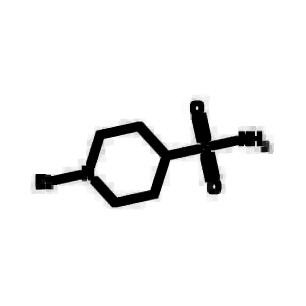 CCN1CCC(S(N)(=O)=O)CC1